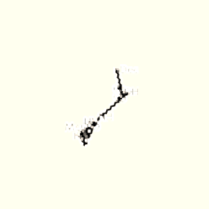 CCCCCCCCCCCCCCCCC(=O)OCC(CO)OC(=O)CCCCCCCCNCCNC(=O)O[C@@H]1CC[C@](O)(CCl)[C@@H]([C@@]2(C)OC2CC=C(C)C)[C@@H]1OC